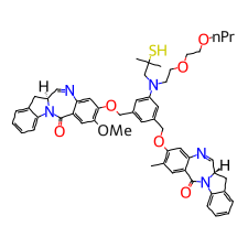 CCCOCCOCCN(CC(C)(C)S)c1cc(COc2cc3c(cc2C)C(=O)N2c4ccccc4C[C@H]2C=N3)cc(COc2cc3c(cc2OC)C(=O)N2c4ccccc4C[C@H]2C=N3)c1